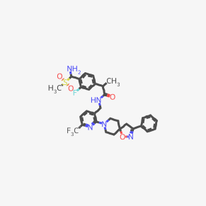 CC(C(=O)NCc1ccc(C(F)(F)F)nc1N1CCC2(CC1)CC(c1ccccc1)=NO2)c1ccc(C(N)S(C)(=O)=O)c(F)c1